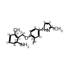 Cc1ccn(-c2ccc(OCc3c(C)cccc3N)c(F)c2)n1